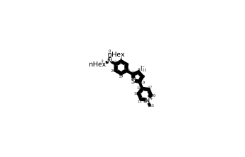 CCCCCCN(CCCCCC)c1ccc(-c2ccc(-c3cc[n+](C)cc3)s2)cc1.[I-]